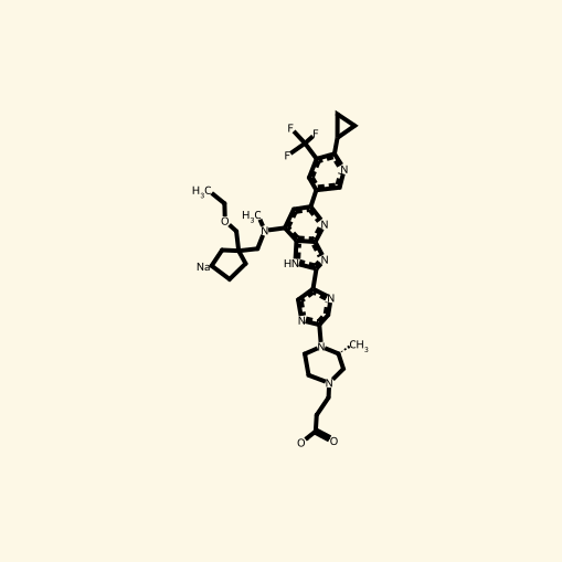 CCOCC1(CN(C)c2cc(-c3cnc(C4CC4)c(C(F)(F)F)c3)nc3nc(-c4cnc(N5CCN(CCC(=O)[O-])C[C@H]5C)cn4)[nH]c23)CCCC1.[Na+]